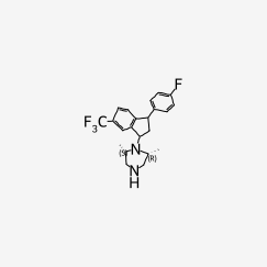 C[C@@H]1CNC[C@H](C)N1C1CC(c2ccc(F)cc2)c2ccc(C(F)(F)F)cc21